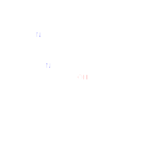 CC[C@H](C)CC(O)C(C)N1CCN(C)CC1